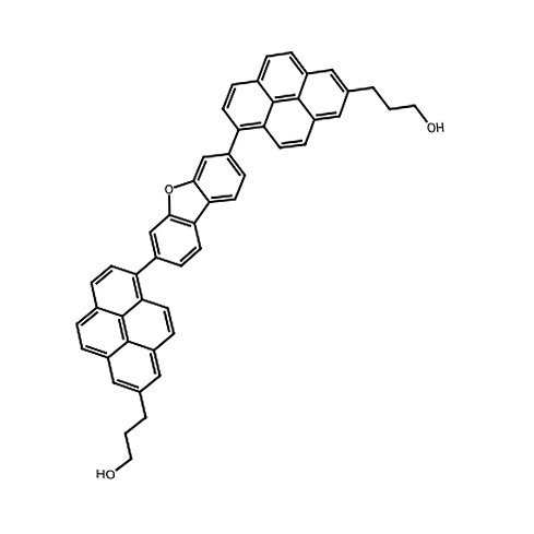 OCCCc1cc2ccc3ccc(-c4ccc5c(c4)oc4cc(-c6ccc7ccc8cc(CCCO)cc9ccc6c7c89)ccc45)c4ccc(c1)c2c34